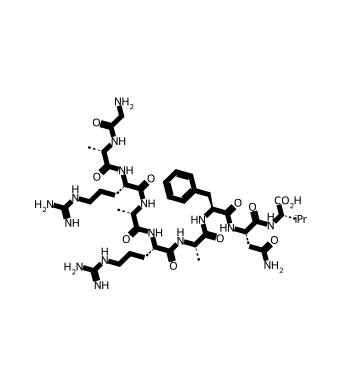 CC(C)[C@H](NC(=O)[C@H](CC(N)=O)NC(=O)[C@H](Cc1ccccc1)NC(=O)[C@H](C)NC(=O)[C@H](CCCNC(=N)N)NC(=O)[C@H](C)NC(=O)[C@H](CCCNC(=N)N)NC(=O)[C@H](C)NC(=O)CN)C(=O)O